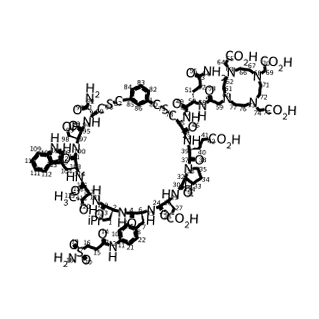 CC(C)C[C@@H]1NC(=O)[C@H](Cc2ccc(NC(=O)CCS(N)(=O)=O)cc2)NC(=O)[C@H](CC(=O)O)NC(=O)[C@H]2CCCN2C(=O)[C@H](CCC(=O)O)NC(=O)[C@@H](NC(=O)[C@H](CCC(N)=O)NC(=O)CN2CCN(CC(=O)O)CCN(CC(=O)O)CCN(CC(=O)O)CC2)CSCc2cccc(c2)CSC[C@@H](C(N)=O)NC(=O)[C@H](CO)NC(=O)[C@H](Cc2c[nH]c3ccccc23)NC(=O)[C@H]([C@@H](C)O)NC1=O